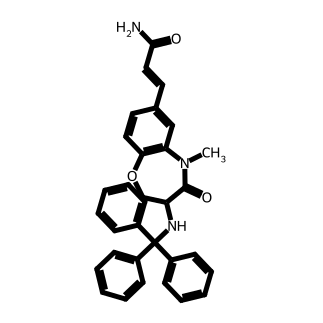 CN1C(=O)C(NC(c2ccccc2)(c2ccccc2)c2ccccc2)COc2ccc(/C=C/C(N)=O)cc21